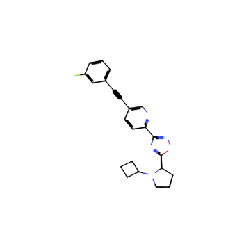 Fc1cccc(C#Cc2ccc(-c3noc(C4CCCN4C4CCC4)n3)nc2)c1